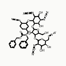 [N-]=[N+]=NCC1OC(OC2C(CO)OC(OC3C(O)C(N=[N+]=[N-])C(O)C(N=[N+]=[N-])C3OC3CC(CN(Cc4ccccc4)C(=O)OCc4ccccc4)CCC3N=[N+]=[N-])C2O)C(N=[N+]=[N-])C(O)C1O